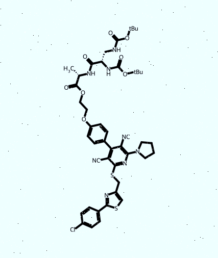 [C-]#[N+]c1c(N2CCCC2)nc(SCc2csc(-c3ccc(Cl)cc3)n2)c(C#N)c1-c1ccc(OCCOC(=O)[C@H](C)NC(=O)[C@H](CNC(=O)OC(C)(C)C)NC(=O)OC(C)(C)C)cc1